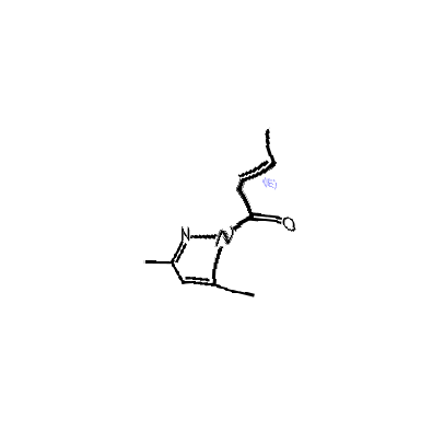 C/C=C/C(=O)n1nc(C)cc1C